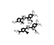 CCn1nc(-c2nc(-c3ccc(C(N)=O)cc3C3CC3)no2)c2c1CC(C)(C)CC2.CCn1nc(-c2nc(-c3ccc(N)nc3C(F)(F)F)no2)c2c1CC(C)(C)CC2